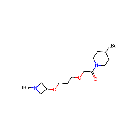 CC(C)(C)C1CCN(C(=O)COCCCOC2CN(C(C)(C)C)C2)CC1